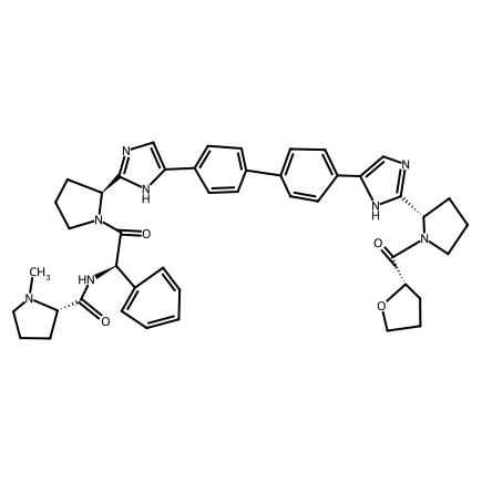 CN1CCC[C@H]1C(=O)N[C@@H](C(=O)N1CCC[C@H]1c1ncc(-c2ccc(-c3ccc(-c4cnc([C@@H]5CCCN5C(=O)[C@@H]5CCCO5)[nH]4)cc3)cc2)[nH]1)c1ccccc1